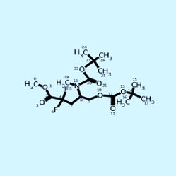 COC(=O)C(F)(F)CC(COC(=O)OC(C)(C)C)N(C)C(=O)OC(C)(C)C